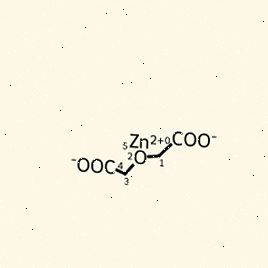 O=C([O-])COCC(=O)[O-].[Zn+2]